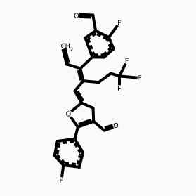 C=C/C(=C(\C=C1/CC(C=O)=C(c2ccc(F)cc2)O1)CCC(F)(F)F)c1ccc(F)c(C=O)c1